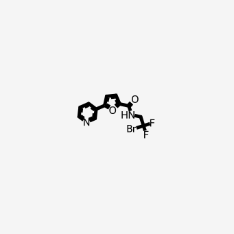 O=C(NCC(F)(F)Br)c1ccc(-c2cccnc2)o1